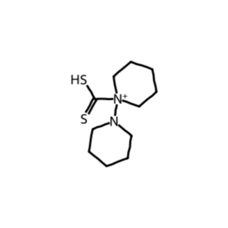 S=C(S)[N+]1(N2CCCCC2)CCCCC1